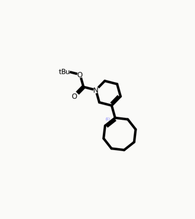 CC(C)(C)OC(=O)N1CCC=C(/C2=C/CCCCCC2)C1